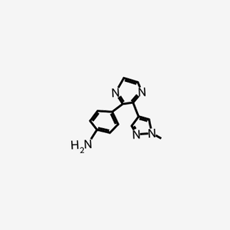 Cn1cc(-c2nccnc2-c2ccc(N)cc2)cn1